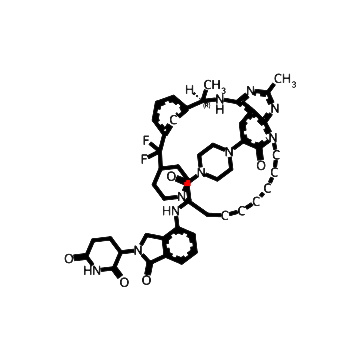 Cc1nc2c3cc(N4CCN(C(=O)CNc5cccc6c5CN(C5CCC(=O)NC5=O)C6=O)CC4)c(=O)n(c3n1)CCCCCCCN1CCC(CC1)C(F)(F)c1cccc(c1)[C@@H](C)N2